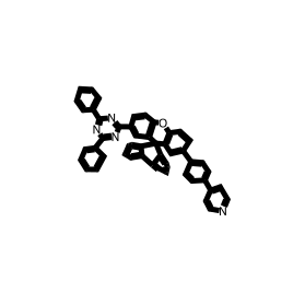 c1ccc(-c2nc(-c3ccccc3)nc(-c3ccc4c(c3)C3(c5cc(-c6ccc(-c7ccncc7)cc6)ccc5O4)c4ccccc4-c4ccccc43)n2)cc1